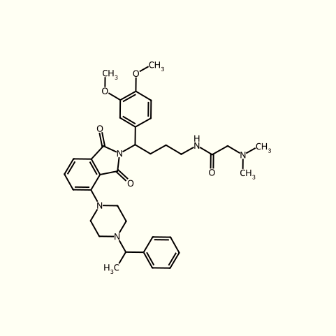 COc1ccc(C(CCCNC(=O)CN(C)C)N2C(=O)c3cccc(N4CCN(C(C)c5ccccc5)CC4)c3C2=O)cc1OC